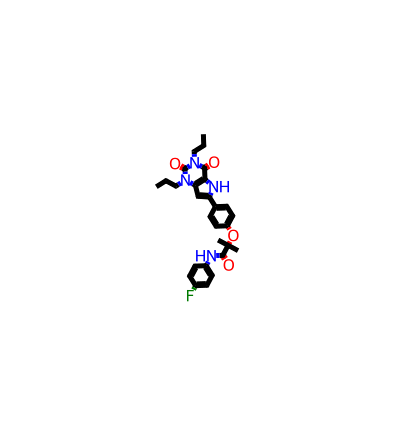 CCCn1c(=O)c2[nH]c(-c3ccc(OC(C)(C)C(=O)Nc4ccc(F)cc4)cc3)cc2n(CCC)c1=O